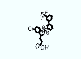 O=C(O)CCC1CN(S(=O)(=O)c2cccc(-c3cccc(C(F)(F)F)c3)c2)c2ccc(Cl)cc21